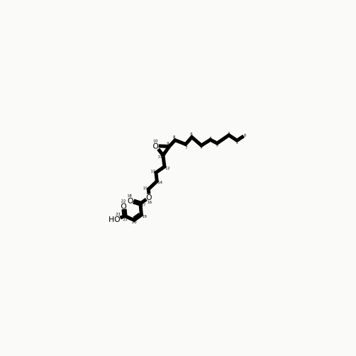 CCCCCCCCCC1OC1CCCCOC(=O)/C=C\C(=O)O